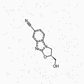 N#Cc1ccc2c(c1)nc1n2C[C@@H](CO)O1